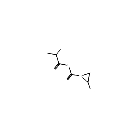 N#CC1CN1C(=O)NC(=O)C(Cl)Cl